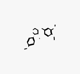 COc1ccc([C@H]2OC[C@H](Cc3ccc(OC)c(OC)c3)[C@@H]2CO)cc1